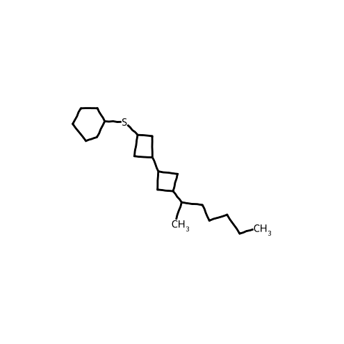 CCCCCC(C)C1CC(C2CC(SC3CCCCC3)C2)C1